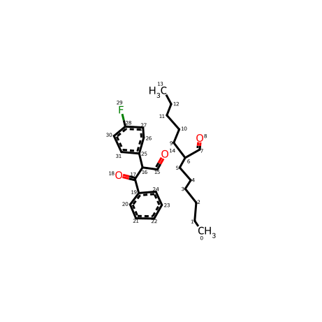 CCCCCCC(C=O)CCCCC.O=CC(C(=O)c1ccccc1)c1ccc(F)cc1